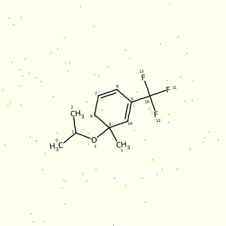 CC(C)OC1(C)[CH]C=CC(C(F)(F)F)=C1